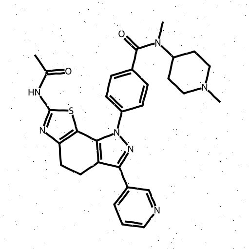 CC(=O)Nc1nc2c(s1)-c1c(c(-c3cccnc3)nn1-c1ccc(C(=O)N(C)C3CCN(C)CC3)cc1)CC2